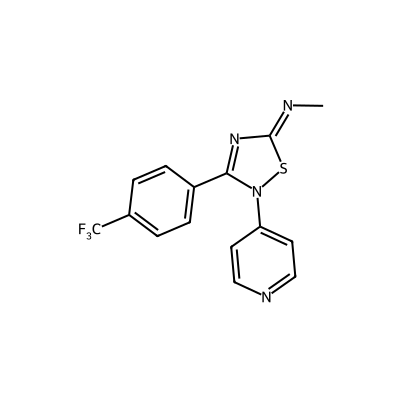 CN=c1nc(-c2ccc(C(F)(F)F)cc2)n(-c2ccncc2)s1